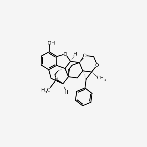 CN1CC[C@]23c4c5ccc(O)c4O[C@H]2[C@@]24CC[C@@]3(C[C@@]23C(c2ccccc2)[C@]3(C)OCO4)[C@H]1C5